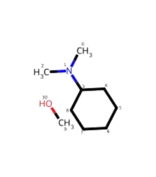 CN(C)C1CCCCC1.CO